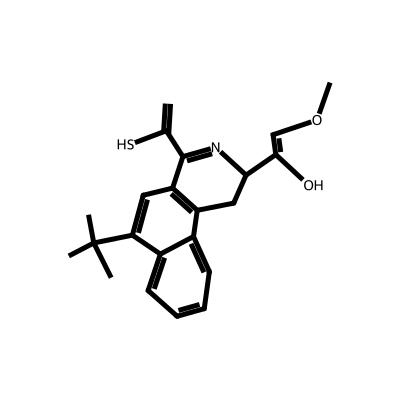 C=C(S)C1=NC(/C(O)=C/OC)Cc2c1cc(C(C)(C)C)c1ccccc21